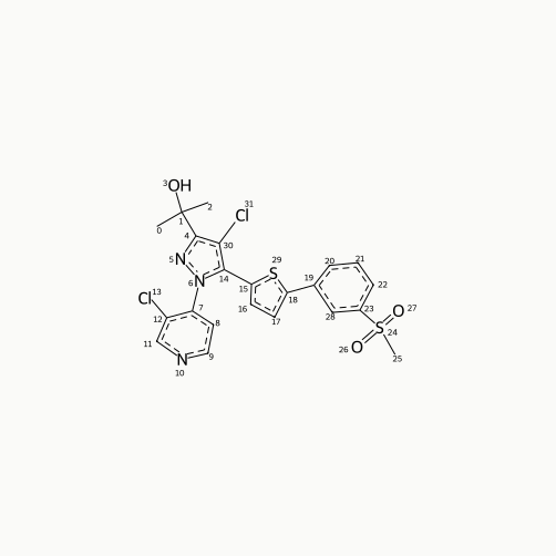 CC(C)(O)c1nn(-c2ccncc2Cl)c(-c2ccc(-c3cccc(S(C)(=O)=O)c3)s2)c1Cl